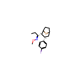 CCC(=NOC)[C@@H]1C2CCC(C[C@@H]1c1ccc(I)cc1)S2